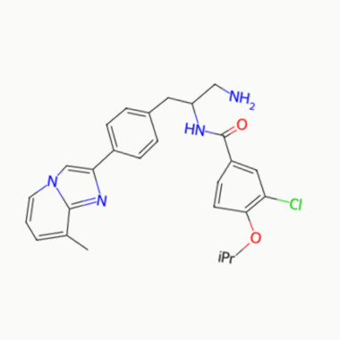 Cc1cccn2cc(-c3ccc(CC(CN)NC(=O)c4ccc(OC(C)C)c(Cl)c4)cc3)nc12